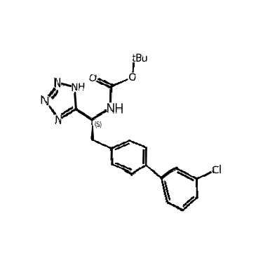 CC(C)(C)OC(=O)N[C@@H](Cc1ccc(-c2cccc(Cl)c2)cc1)c1nnn[nH]1